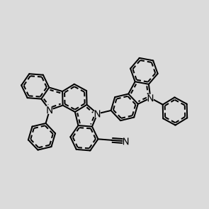 N#Cc1cccc2c3c(ccc4c5ccccc5n(-c5ccccc5)c43)n(-c3ccc4c(c3)c3ccccc3n4-c3ccccc3)c12